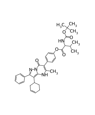 Cc1[nH]c2c(C3CC=CCC3)c(-c3ccccc3)nn2c(=O)c1-c1ccc(OC(=O)C(NC(=O)OC(C)(C)C)C(C)C)cc1